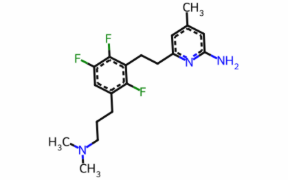 Cc1cc(N)nc(CCc2c(F)c(F)cc(CCCN(C)C)c2F)c1